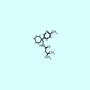 C=C(C)CC(=O)NCC1(c2ccc(C)nc2)CCCCC1